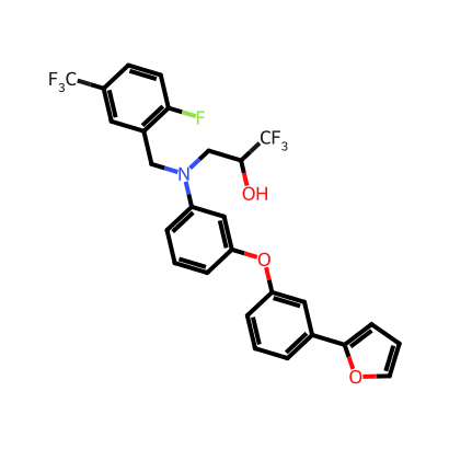 OC(CN(Cc1cc(C(F)(F)F)ccc1F)c1cccc(Oc2cccc(-c3ccco3)c2)c1)C(F)(F)F